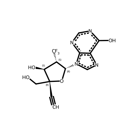 C#C[C@]1(CO)O[C@@H](n2cnc3c(O)ncnc32)[C@@H](C(F)(F)F)[C@@H]1O